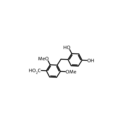 COc1ccc(C(=O)O)c(OC)c1Cc1ccc(O)cc1O